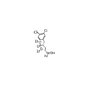 CCOP(=O)(OCC)C(CCN(O)C(C)=O)Cc1ccc(Cl)c(Cl)c1